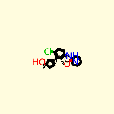 C[C@]1(O)CC[C@@H](c2cc(NC(=O)N3C4CC3CC(C(F)(F)F)C4)ccc2Cl)C1